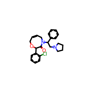 O=C1C(c2ccccc2Cl)OC/C=C\CN1C(CN1CCCC1)c1ccccc1